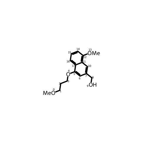 COCCCOc1cc(CO)cc2c(OC)cccc12